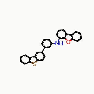 c1cc(Nc2cccc3c2oc2ccccc23)cc(-c2ccc3sc4ccccc4c3c2)c1